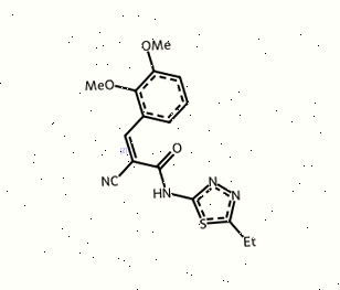 CCc1nnc(NC(=O)/C(C#N)=C\c2cccc(OC)c2OC)s1